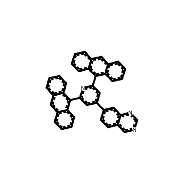 c1ccc2c(-c3cc(-c4ccc5cncnc5c4)cc(-c4c5ccccc5cc5ccccc45)n3)c3ccccc3cc2c1